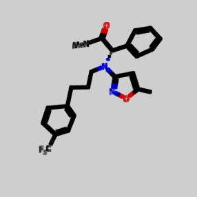 CNC(=O)[C@H](c1ccccc1)N(CCCc1ccc(C(F)(F)F)cc1)c1cc(C)on1